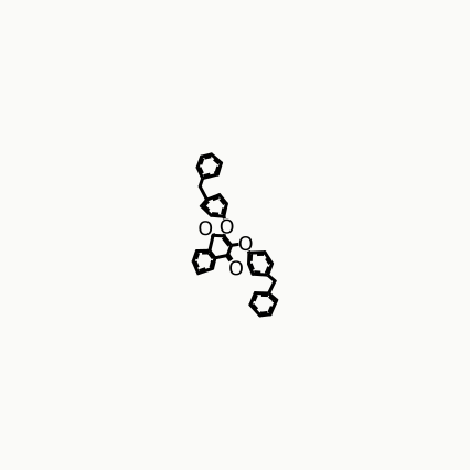 O=C1C(Oc2ccc(Cc3ccccc3)cc2)=C(Oc2ccc(Cc3ccccc3)cc2)C(=O)c2ccccc21